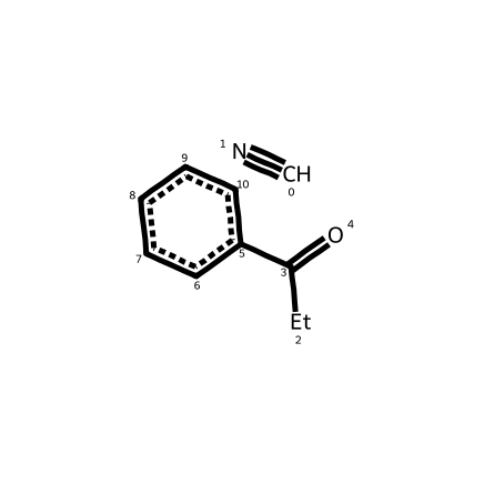 C#N.CCC(=O)c1ccccc1